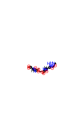 COc1cc2c(cc1OCCCOc1cc3c(cc1OC)C(=O)N1C=C(c4ccc5c(c4)OCO5)C[C@H]1C=N3)N=C[C@@H]1CC(c3ccc(NC(=O)C(C)NC(=O)[C@@H](N)C(C)C)cc3)=CN1C2=O